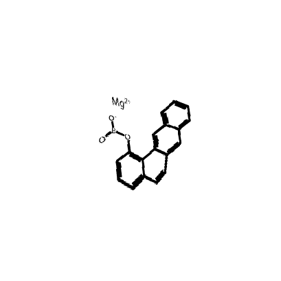 [Mg+2].[O-]B([O-])Oc1cccc2ccc3cc4ccccc4cc3c12